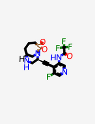 O=C(Nc1cncc(F)c1C#C[C@H]1CN[C@@H]2CCCS(=O)(=O)N1C2)C(F)(F)F